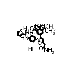 CC(C)(C)c1cc(C2CC(CC(N)=O)ON2c2ccc(NC(=N)c3cccs3)cc2)cc(C(C)(C)C)c1O.I